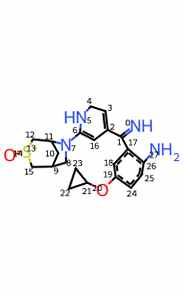 N=C(C1=CCNC(N2CC3CC2C[S+]([O-])C3)=C1)c1cc(OC2CC2)ccc1N